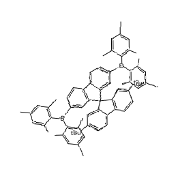 Cc1cc(C)c(B(c2ccc3c(c2)C2(c4cc(B(c5c(C)cc(C)cc5C)c5c(C)cc(C)cc5C)ccc4-3)c3cc(C(C)(C)C)ccc3-c3ccc(C(C)(C)C)cc32)c2c(C)cc(C)cc2C)c(C)c1